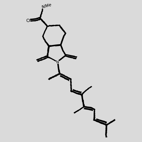 C=C1C2CCC(C(=O)NC)CC2C(=C)N1/C(C)=C/C=C(C)/C(C)=C/C=C(C)C